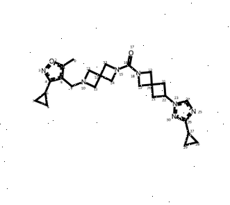 Cc1onc(C2CC2)c1CN1CC2(C1)CN(C(=O)N1CC3(CC(n4cnc(C5CC5)n4)C3)C1)C2